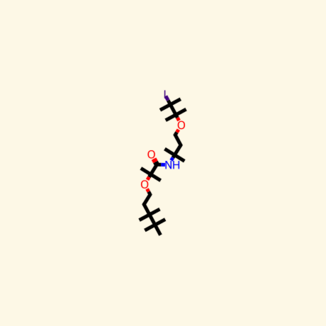 CC(C)(CCOC(C)(C)C(C)(C)I)NC(=O)C(C)(C)OCCC(C)(C)C(C)(C)C